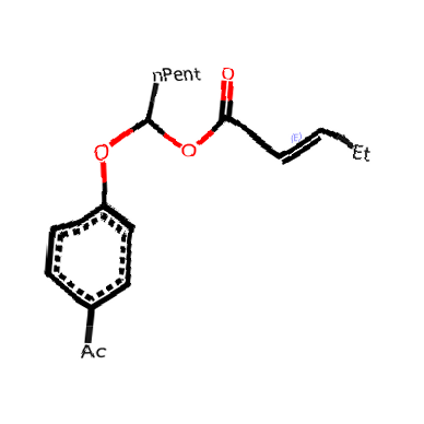 CC/C=C/C(=O)OC(CCCCC)Oc1ccc(C(C)=O)cc1